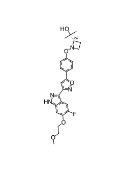 COCCOc1cc2[nH]nc(-c3cc(-c4ccc(ON5CC[C@H]5C(C)(C)O)cc4)on3)c2cc1F